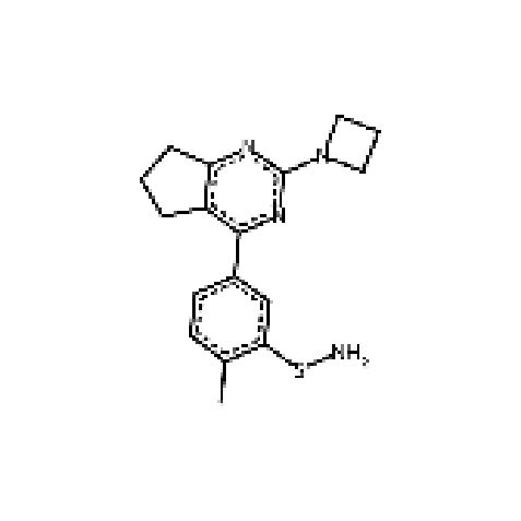 Cc1ccc(-c2nc(N3CCC3)nc3c2CCC3)cc1SN